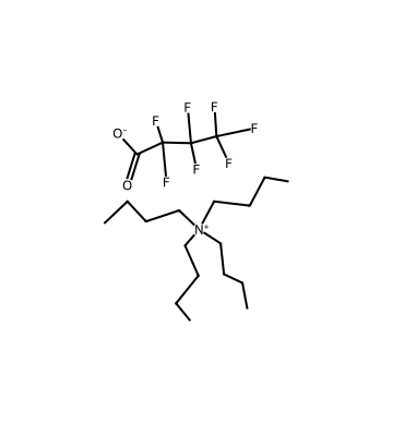 CCCC[N+](CCCC)(CCCC)CCCC.O=C([O-])C(F)(F)C(F)(F)C(F)(F)F